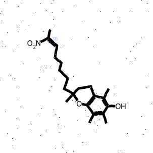 C/C(=C/CCCCCC1(C)CCc2c(C)c(O)c(C)c(C)c2O1)[N+](=O)[O-]